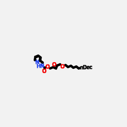 CCCCCCCCCCCCCCCCOCC1CC(COC(=O)NCc2ccccn2)O1